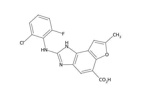 Cc1cc2c(o1)c(C(=O)O)cc1nc(Nc3c(F)cccc3Cl)[nH]c12